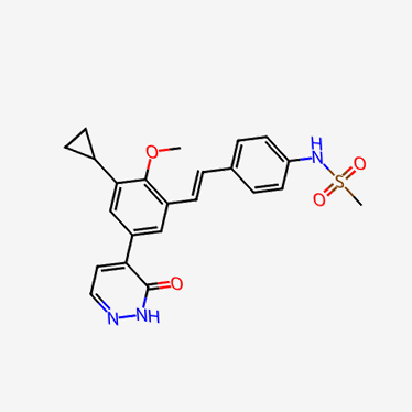 COc1c(/C=C/c2ccc(NS(C)(=O)=O)cc2)cc(-c2ccn[nH]c2=O)cc1C1CC1